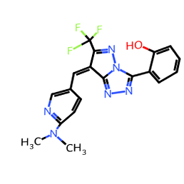 CN(C)c1ccc(C=c2c(C(F)(F)F)nn3c(-c4ccccc4O)nnc23)cn1